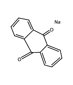 O=C1c2ccccc2C(=O)c2ccccc21.[Na]